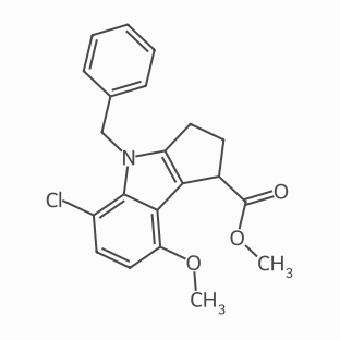 COC(=O)C1CCc2c1c1c(OC)ccc(Cl)c1n2Cc1ccccc1